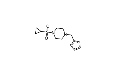 O=S(=O)(C1CC1)N1CCN(Cc2cccs2)CC1